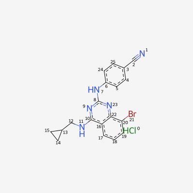 Cl.N#Cc1ccc(Nc2nc(NCC3CC3)c3cccc(Br)c3n2)cc1